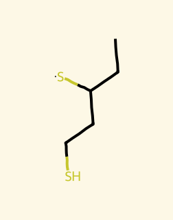 CCC([S])CCS